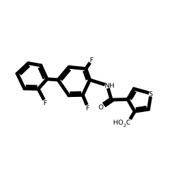 O=C(O)c1cscc1C(=O)Nc1c(F)cc(-c2ccccc2F)cc1F